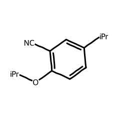 [CH2]C(C)c1ccc(OC(C)C)c(C#N)c1